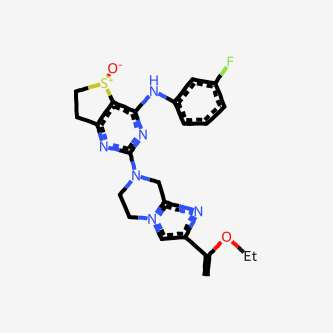 C=C(OCC)c1cn2c(n1)CN(c1nc3c(c(Nc4cccc(F)c4)n1)[S+]([O-])CC3)CC2